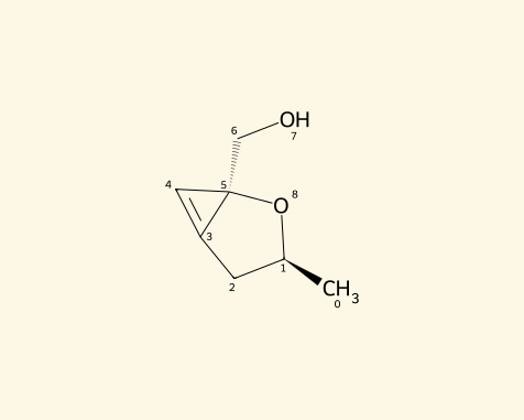 C[C@H]1CC2=C[C@@]2(CO)O1